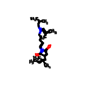 CCC(C)(C)CC1CC(=O)N(CCCCCN(CC(C)C)CC(C)C)C1=O